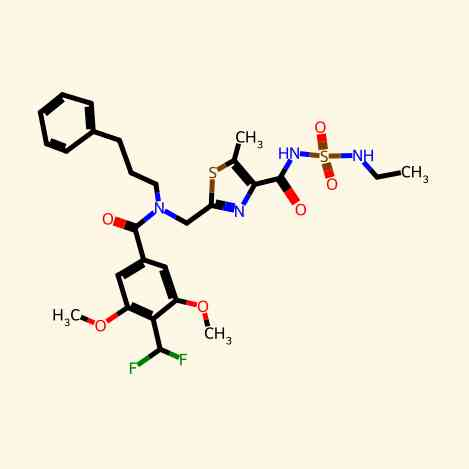 CCNS(=O)(=O)NC(=O)c1nc(CN(CCCc2ccccc2)C(=O)c2cc(OC)c(C(F)F)c(OC)c2)sc1C